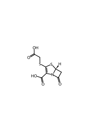 O=C(O)CSC1=C(C(=O)O)N2C(=O)C[C@H]2S1